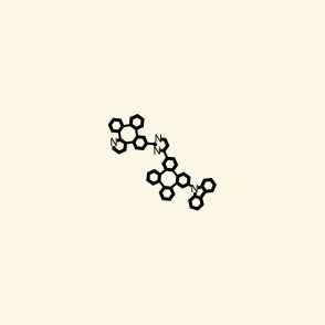 c1ccc2c(c1)-c1ccccc1-c1cc(-n3c4ccccc4c4ccccc43)ccc1-c1ccc(-c3ccnc(-c4ccc5c(c4)-c4ccccc4-c4ccccc4-c4ncccc4-5)n3)cc1-2